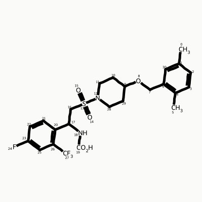 Cc1ccc(C)c(COC2CCN(S(=O)(=O)CC(NC(=O)O)c3ccc(F)cc3C(F)(F)F)CC2)c1